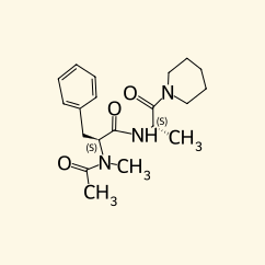 CC(=O)N(C)[C@@H](Cc1ccccc1)C(=O)N[C@@H](C)C(=O)N1CCCCC1